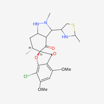 COc1cc(OC)c2c(c1Cl)O[C@]1(C2=O)C(=O)C2C(C[C@H]1C)NN(C)C2C1CSC(C)N1